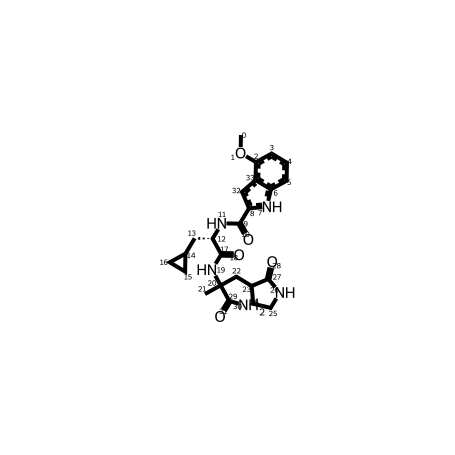 COc1cccc2[nH]c(C(=O)N[C@@H](CC3CC3)C(=O)NC(C)(CC3CCNC3=O)C(N)=O)cc12